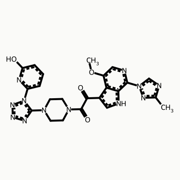 COc1cnc(-n2cnc(C)n2)c2[nH]cc(C(=O)C(=O)N3CCN(c4nnnn4-c4cccc(O)n4)CC3)c12